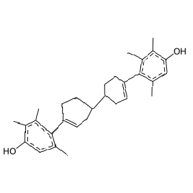 Cc1cc(O)c(C)c(C)c1C1=CCC(C2CC=C(c3c(C)cc(O)c(C)c3C)CC2)CC1